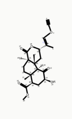 C#CO/C=C(\C)[C@@H]1C[C@]2(C)[C@H]3C(=O)[C@@H](O)C[C@@H](C(=O)OC)[C@]3(C)CC[C@H]2C(=O)O1